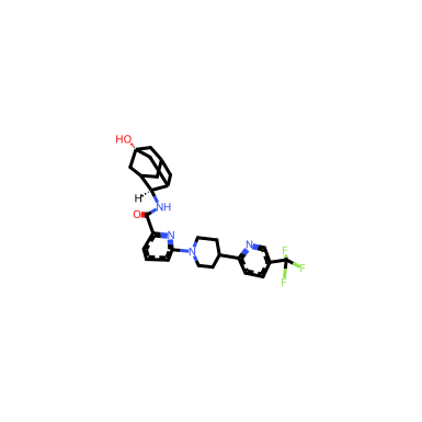 O=C(N[C@H]1C2CC3CC1C[C@](O)(C3)C2)c1cccc(N2CCC(c3ccc(C(F)(F)F)cn3)CC2)n1